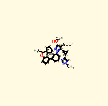 CC(Oc1cccc(-c2cccc(-n3ncc(C(=O)[O-])c3[C@@H]3C[C@H]3c3cn(C)nn3)c2)c1)C1CCCCC1.[Ca+2].[OH-]